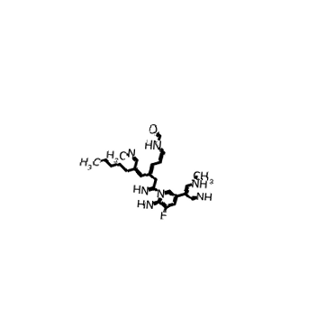 CCCCCC(/C=N\C)=C/C(=C/C=C\NC=O)CC(=N)n1cc(/C(C=N)=C/NC)cc(F)c1=N